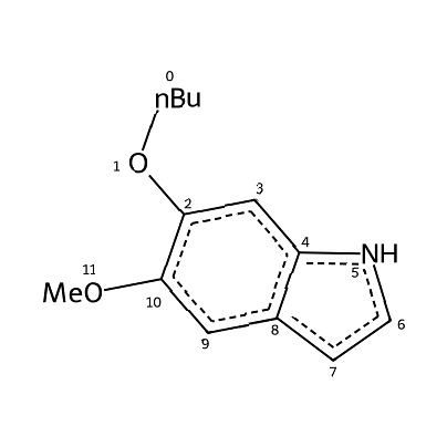 CCCCOc1cc2[nH]ccc2cc1OC